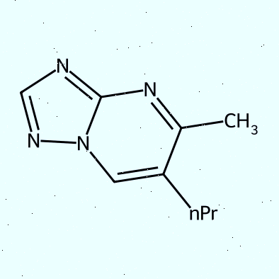 CCCc1cn2ncnc2nc1C